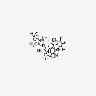 C=CC(=O)N1[C@H](C)CN(c2c(C#N)c(=O)n(-c3c(C)ccnc3C(C)C)c3nc(-c4c(O)c(Cl)c(F)c(F)c4Cl)c(Cl)cc23)C[C@@H]1C